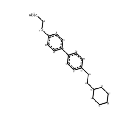 CCCCCCCCCCCOc1ccc(-c2ccc(CCC3CC[CH]CC3)cc2)cc1